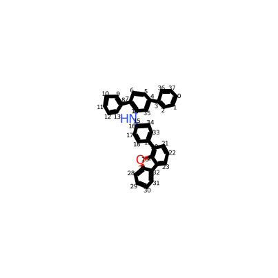 c1ccc(-c2ccc(-c3ccccc3)c(Nc3ccc(-c4cccc5c4oc4ccccc45)cc3)c2)cc1